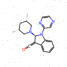 C[C@@H]1C[C@H](C)CN([C@@H]2C(=C=O)c3ccccc3N2c2cnccn2)C1